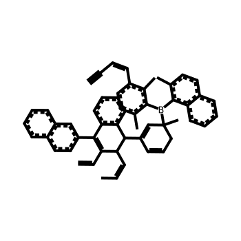 C#C/C=C\c1ccc(C)c(B(c2c(C)ccc3ccccc23)C2(C)C=C(C3c4ccccc4C(c4ccc5ccccc5c4)=C(C=C)C3/C=C\C)C=CC2)c1C